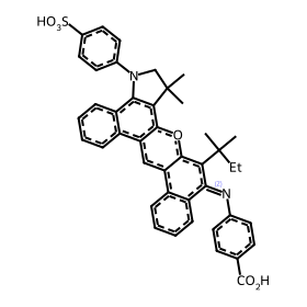 CCC(C)(C)c1c2oc3c4c(c5ccccc5c3cc-2c2ccccc2/c1=N\c1ccc(C(=O)O)cc1)N(c1ccc(S(=O)(=O)O)cc1)CC4(C)C